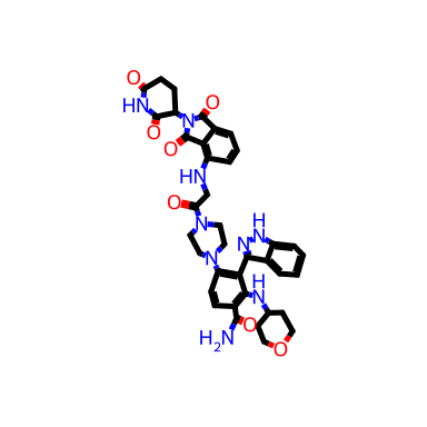 NC(=O)c1ccc(N2CCN(C(=O)CNc3cccc4c3C(=O)N(C3CCC(=O)NC3=O)C4=O)CC2)c(-c2n[nH]c3ccccc23)c1NC1CCOCC1